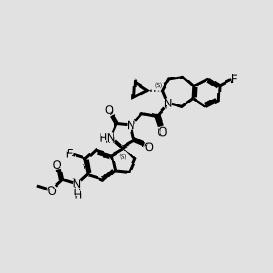 COC(=O)Nc1cc2c(cc1F)[C@]1(CC2)NC(=O)N(CC(=O)N2Cc3ccc(F)cc3CC[C@H]2C2CC2)C1=O